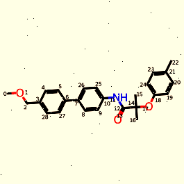 COCc1ccc(-c2ccc(NC(=O)C(C)(C)Oc3ccc(C)cc3)cc2)cc1